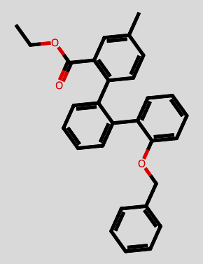 CCOC(=O)c1cc(C)ccc1-c1ccccc1-c1ccccc1OCc1ccccc1